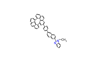 CCn1c(-c2ccc3cc(-c4ccc(-c5cc6ccc7cccc8c9cccc%10ccc%11cccc(c(c5)c6c78)c%11c%109)cc4)ccc3c2)nc2ccccc21